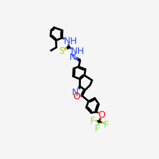 CCc1ccccc1NC(=S)N/N=C/c1ccc2c(c1)CCc1c-2noc1-c1ccc(OC(F)(F)F)cc1